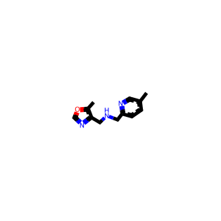 Cc1ccc(CNCc2ncoc2C)nc1